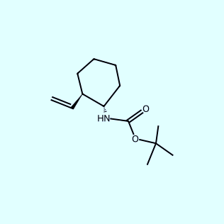 C=C[C@H]1CCCC[C@@H]1NC(=O)OC(C)(C)C